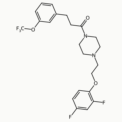 O=C(CCc1cccc(OC(F)(F)F)c1)N1CCN(CCOc2ccc(F)cc2F)CC1